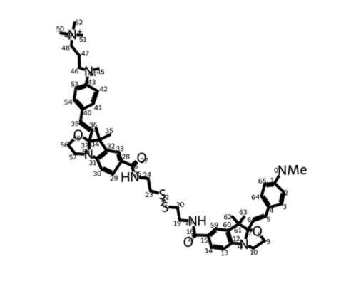 CNc1ccc(/C=C/C23OCCN2c2ccc(C(=O)NCCSSCCNC(=O)c4ccc5c(c4)C(C)(C)C4(/C=C/c6ccc(N(C)CCC[N+](C)(C)C)cc6)OCCN54)cc2C3(C)C)cc1